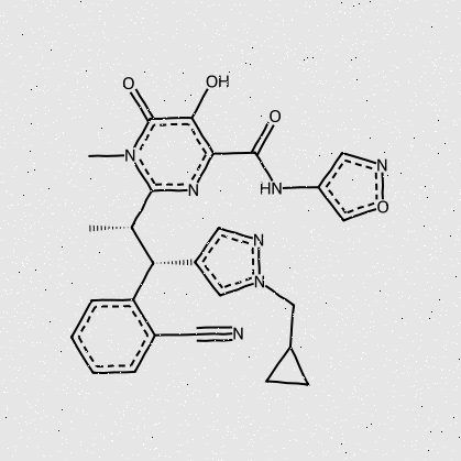 C[C@H](c1nc(C(=O)Nc2cnoc2)c(O)c(=O)n1C)[C@H](c1cnn(CC2CC2)c1)c1ccccc1C#N